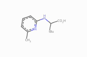 Cc1cccc(NC(C(=O)O)C(C)(C)C)n1